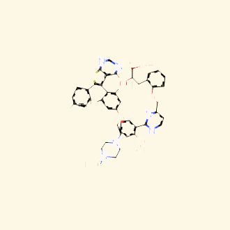 COc1ccccc1-c1nccc(COc2ccccc2CC(Oc2ncnc3sc(-c4ccc(F)cc4)c(-c4c(C)cc(OCCN5CCN(C)CC5)cc4C)c23)C(=O)O)n1